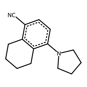 N#Cc1ccc(N2CCCC2)c2c1CCCC2